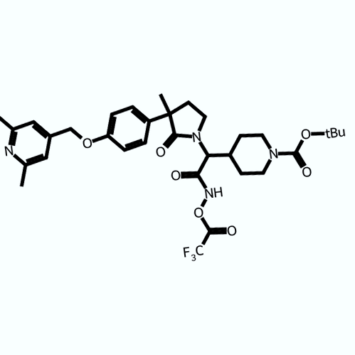 Cc1cc(COc2ccc(C3(C)CCN(C(C(=O)NOC(=O)C(F)(F)F)C4CCN(C(=O)OC(C)(C)C)CC4)C3=O)cc2)cc(C)n1